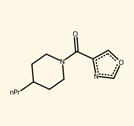 CCCC1CCN(C(=O)c2cocn2)CC1